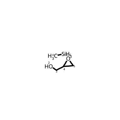 C[SiH3].OCC1CO1